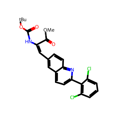 COC(=O)/C(=C\c1ccc2nc(-c3c(Cl)cccc3Cl)ccc2c1)NC(=O)OC(C)(C)C